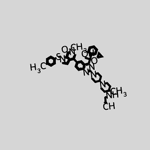 C#CCNC1(C)CCN(C2CCN(c3nc(C(CO)(OC4CC4)c4ccccc4)c4cc(-c5cn(C)c(=O)c6c5ccn6Sc5ccc(C)cc5)ccc4n3)CC2)CC1